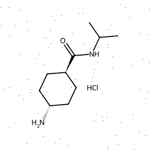 CC(C)NC(=O)[C@H]1CC[C@H](N)CC1.Cl